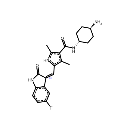 Cc1[nH]c(/C=C2\C(=O)Nc3ccc(F)cc32)c(C)c1C(=O)N[C@H]1CC[C@H](N)CC1